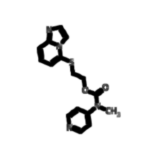 CN(C(=O)OCCSc1cccc2nccn12)c1ccncc1